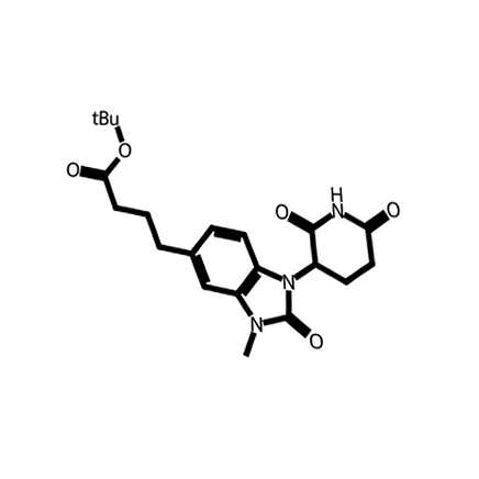 Cn1c(=O)n(C2CCC(=O)NC2=O)c2ccc(CCCC(=O)OC(C)(C)C)cc21